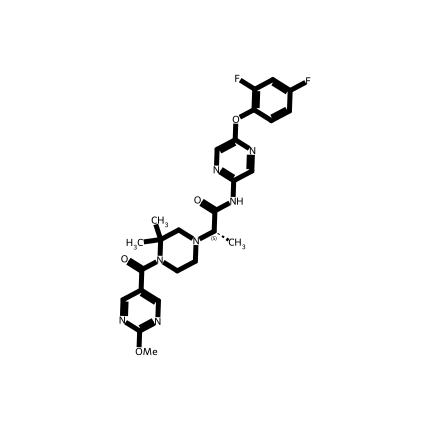 COc1ncc(C(=O)N2CCN([C@@H](C)C(=O)Nc3cnc(Oc4ccc(F)cc4F)cn3)CC2(C)C)cn1